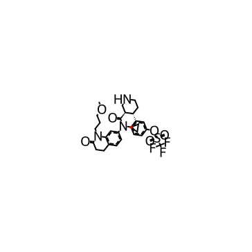 COCCCN1C(=O)CCc2ccc(N(C(=O)[C@H]3CNCC[C@@H]3c3cccc(OS(=O)(=O)C(F)(F)F)c3)C3CC3)cc21